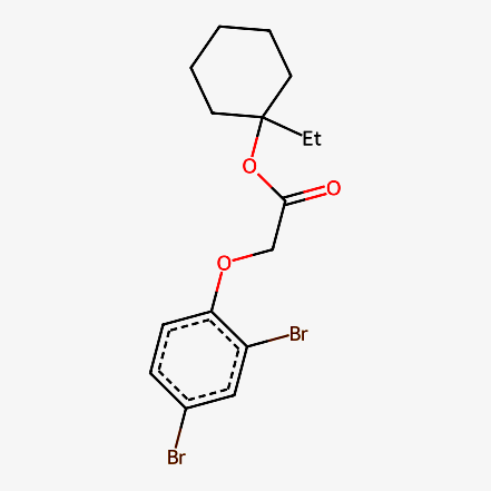 CCC1(OC(=O)COc2ccc(Br)cc2Br)CCCCC1